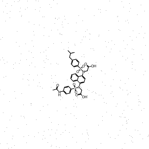 CC(=O)Nc1ccc(S(=O)(=O)N(CC(=O)O)c2ccc(N(CC(=O)O)S(=O)(=O)c3ccc(CC(C)C)cc3)c3ccccc23)cc1